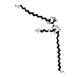 CCCCCCCCCCCCCCCCCC(=O)OC(C)(COCCCC)SC[C@H](NC(=O)CCCCCCCCCCCCCCC)C(=O)O